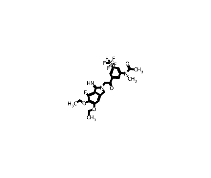 CCOc1cc2c(c(F)c1OCC)C(=N)N(CC(=O)c1cc(N(C)C(C)=O)cc(S(F)(F)(F)(F)F)c1)C2